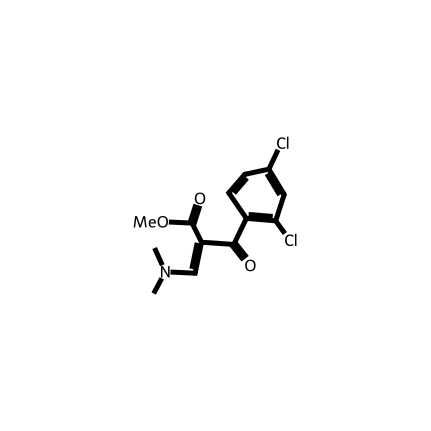 COC(=O)C(=CN(C)C)C(=O)c1ccc(Cl)cc1Cl